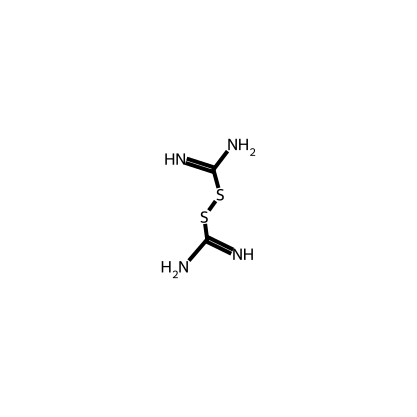 N=C(N)SSC(=N)N